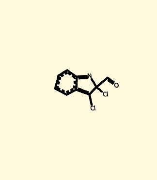 O=CC1(Cl)N=c2ccccc2=C1Cl